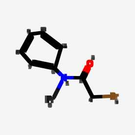 CC(C)N(C(=O)CBr)c1ccccc1